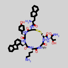 CC(C)[C@@H]1NC(=O)[C@H](CCCCN)NC(=O)[C@@H](Cc2cccc3c2Cc2ccccc2-3)NC(=O)[C@H](Cc2ccc(O)cc2)NC(=O)[C@@H](NC(=O)[C@H](N)Cc2ccc3ccccc3c2)CSSC[C@@H](C(=O)N[C@H](C(N)=O)C(C)O)NC1=O